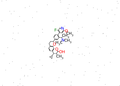 COc1cc(-c2ccc(C3CCc4ccc(C(C5CC5)[C@H](C)C(=O)O)cc4O3)cc2C(C)N(C)C)c(F)cn1